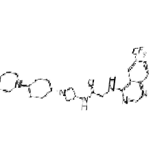 O=C(CNc1ncnc2ccc(C(F)(F)F)cc12)NC1CN([C@H]2CC[C@H](N3CCOCC3)CC2)C1